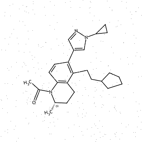 CC(=O)N1c2ccc(-c3cnn(C4CC4)c3)c(CCC3CCCC3)c2CC[C@@H]1C